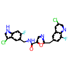 O=C(NCc1cc2c(Cl)c[nH]c2cc1F)c1cnc(Cc2cc(F)c3ncc(Cl)cc3c2)o1